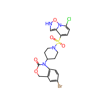 O=C1OCc2cc(Br)ccc2N1C1CCN(S(=O)(=O)C2=CC=C(Cl)N3ONC=C23)CC1